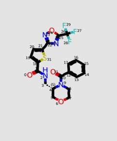 O=C(NC[C@H]1COCCN1C(=O)c1ccccc1)c1ccc(-c2noc(C(F)(F)F)n2)s1